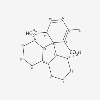 CC1=C(C(=O)O)C(C2CCCCC2)(C2CCCCC2)C(C(=O)O)C=C1